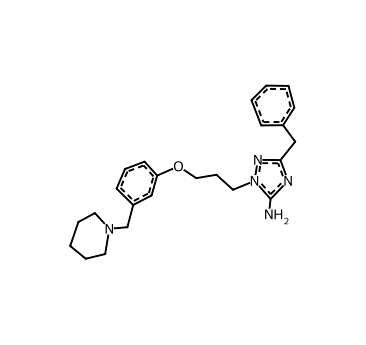 Nc1nc(Cc2ccccc2)nn1CCCOc1cccc(CN2CCCCC2)c1